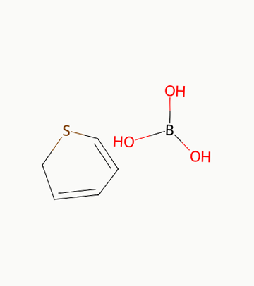 C1=CCSC=C1.OB(O)O